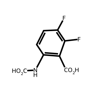 O=C(O)Nc1ccc(F)c(F)c1C(=O)O